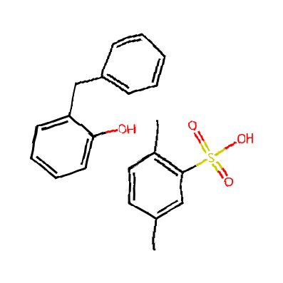 Cc1ccc(C)c(S(=O)(=O)O)c1.Oc1ccccc1Cc1ccccc1